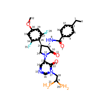 CCc1ccc(C(=O)N[C@@H]2C(=O)N(c3cncn(CC(P)P)c3=O)C[C@H]2c2c(F)cc(OC)cc2F)cc1